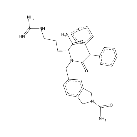 N=C(N)NCCC[C@H](C(N)=O)N(Cc1ccc2c(c1)CN(C(N)=O)C2)C(=O)C(c1ccccc1)c1ccccc1